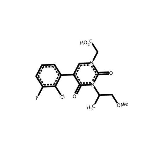 COCC(C)n1c(=O)c(-c2cccc(F)c2Cl)cn(CC(=O)O)c1=O